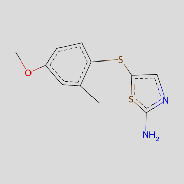 COc1ccc(Sc2cnc(N)s2)c(C)c1